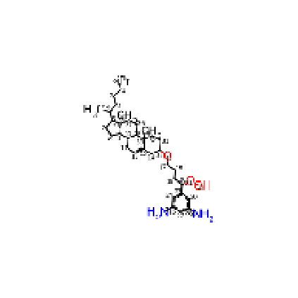 CC(C)CCCC(C)C1CCC2C3CC=C4CC(OCCCC(OO)c5cc(N)cc(N)c5)CCC4(C)C3CCC12C